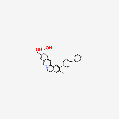 Cc1cc2cc[n+]3cc4cc(CO)c(CO)cc4cc3c2cc1-c1ccc(-c2ccccc2)cc1